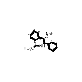 O=C(O)CN[C@H](c1ccccc1)[C@@H](O)c1ccccc1.[NaH]